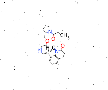 CCC(=O)N1CCC[C@H]1COc1cncc(-c2cccc3c2N(C)C(=O)CC3)c1